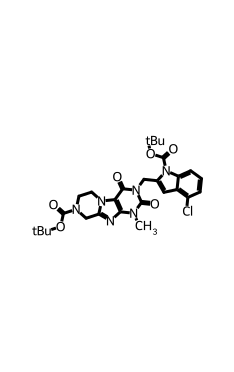 Cn1c(=O)n(Cc2cc3c(Cl)cccc3n2C(=O)OC(C)(C)C)c(=O)c2c1nc1n2CCN(C(=O)OC(C)(C)C)C1